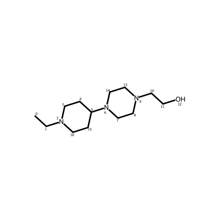 CCN1CCC(N2CCN(CCO)CC2)CC1